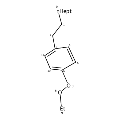 CCCCCCCCCc1ccc(OOCC)cc1